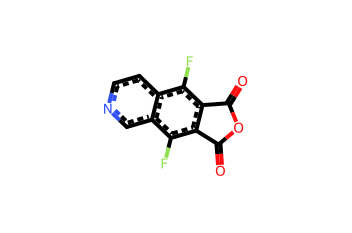 O=C1OC(=O)c2c1c(F)c1ccncc1c2F